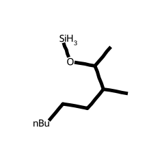 CCCCCCC(C)C(C)O[SiH3]